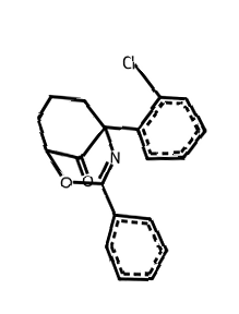 O=C1C2CCCC1(c1ccccc1Cl)N=C(c1ccccc1)O2